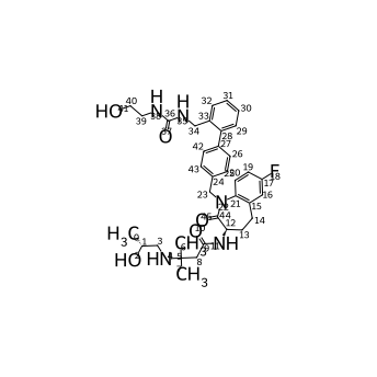 C[C@@H](O)CNC(C)(C)CC(=O)N[C@@H]1CCc2cc(F)ccc2N(Cc2ccc(-c3ccccc3CNC(=O)NCCO)cc2)C1=O